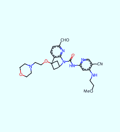 COCCNc1cc(NC(=O)N2c3nc(C=O)ccc3C3(OCCN4CCOCC4)CC2C3)ncc1C#N